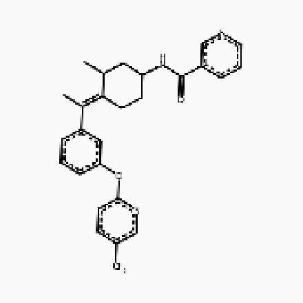 CC(=C1CCC(NC(=O)c2cccnc2)CC1C)c1cccc(Oc2ccc(C(F)(F)F)cn2)c1